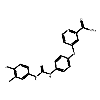 CNC(=O)c1cc(Sc2ccc(NC(=S)Nc3ccc(Cl)c(C)c3)cc2)ccn1